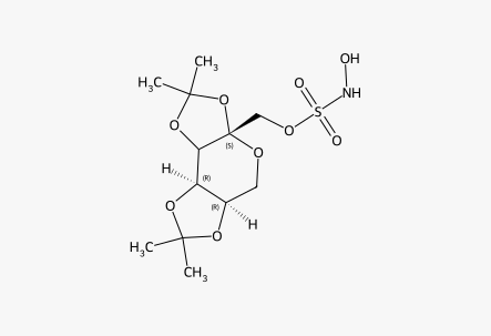 CC1(C)O[C@@H]2CO[C@@]3(COS(=O)(=O)NO)OC(C)(C)OC3[C@@H]2O1